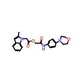 Cc1cc2ccccc2n1CC(=O)OCC(=O)Nc1ccc(N2CCOCC2)cc1